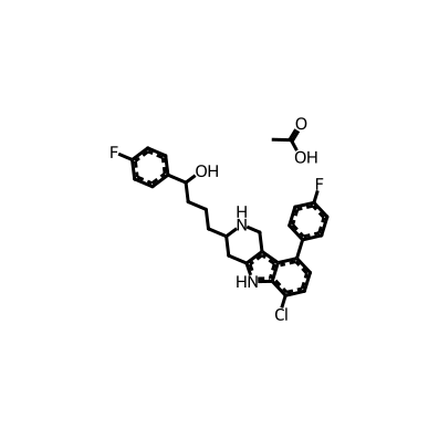 CC(=O)O.OC(CCCC1Cc2[nH]c3c(Cl)ccc(-c4ccc(F)cc4)c3c2CN1)c1ccc(F)cc1